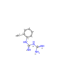 CCCc1ccccc1NC(=N)NC(=N)N